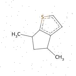 CC1CC(C)c2sccc21